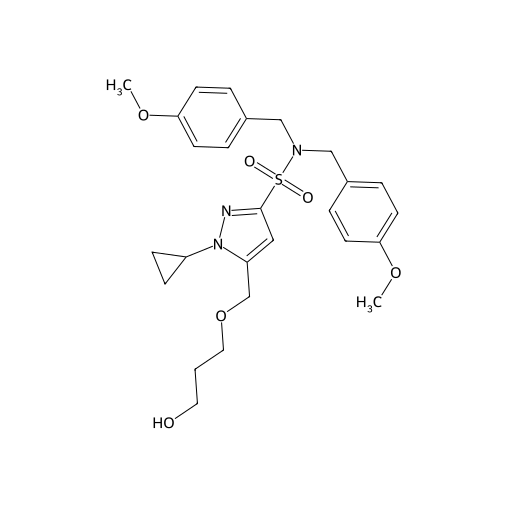 COc1ccc(CN(Cc2ccc(OC)cc2)S(=O)(=O)c2cc(COCCCO)n(C3CC3)n2)cc1